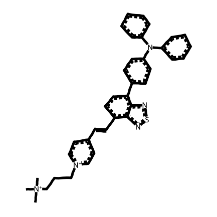 C[N+](C)(C)CCC[n+]1ccc(/C=C/c2ccc(-c3ccc(N(c4ccccc4)c4ccccc4)cc3)c3nsnc23)cc1